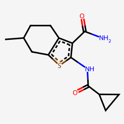 CC1CCc2c(sc(NC(=O)C3CC3)c2C(N)=O)C1